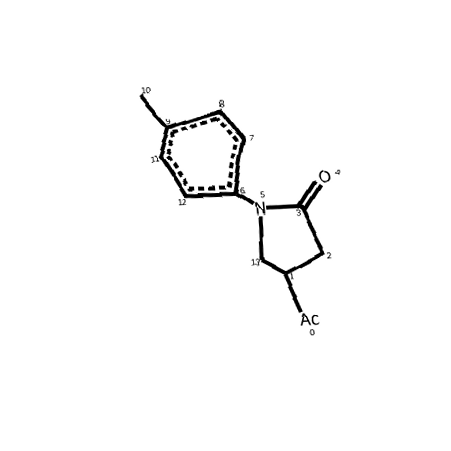 CC(=O)C1CC(=O)N(c2ccc(C)cc2)C1